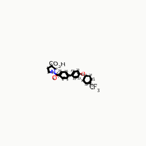 O=C(O)[C@H]1CCN(C(=O)c2ccc(-c3ccc(OC4CCC(C(F)(F)F)CC4)cc3)cc2)C1